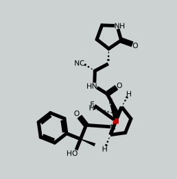 C[C@](O)(C(=O)N1[C@@H]2CC[C@H]([C@@H]1C(=O)N[C@H](C#N)C[C@@H]1CCNC1=O)C(F)(F)C2)c1ccccc1